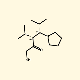 CC(C)[C@@H](C(=O)CS)[C@H](C(C)C)N1CCCC1